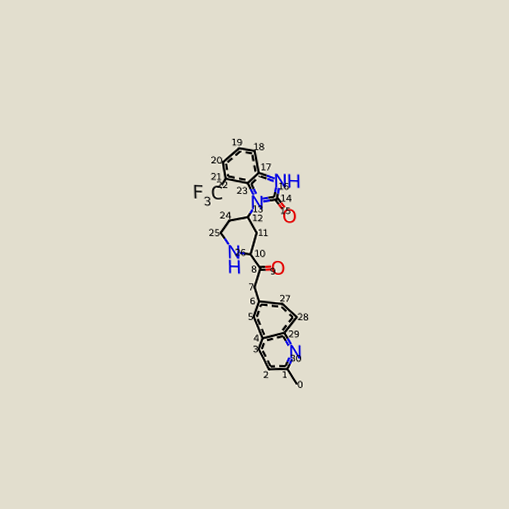 Cc1ccc2cc(CC(=O)C3CC(n4c(=O)[nH]c5cccc(C(F)(F)F)c54)CCN3)ccc2n1